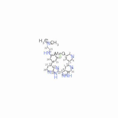 COc1cncc(-c2cc3c(-c4nc5c(-c6cc(F)cc(NCCN(C)C)c6)ccnc5[nH]4)n[nH]c3cn2)c1